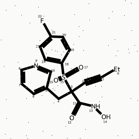 CCC#CC(Cc1cccnc1)(C(=O)NO)S(=O)(=O)c1ccc(F)cc1